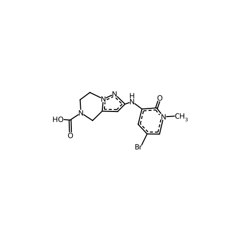 Cn1cc(Br)cc(Nc2cc3n(n2)CCN(C(=O)O)C3)c1=O